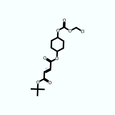 CC(C)(C)OC(=O)/C=C/C(=O)OC1CCC(OC(=O)OCCl)CC1